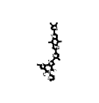 Cc1cc2c(=O)n(-c3cccs3)c(=O)c3cc(-c4sc(-c5cc6c(C)c7sc(-c8cc(C)c(C)s8)cc7c(C)c6s5)cc4C)sc3c2s1